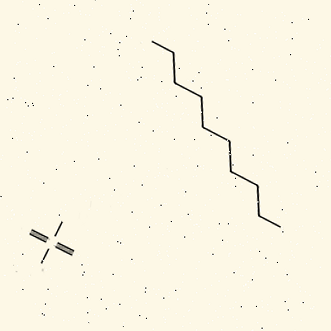 CCCCCCCCCC.O.O.O.O.O.O.O.O=S(=O)(O)O.[AlH3]